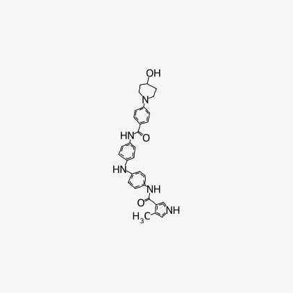 Cc1c[nH]cc1C(=O)Nc1ccc(Nc2ccc(NC(=O)c3ccc(N4CCC(O)CC4)cc3)cc2)cc1